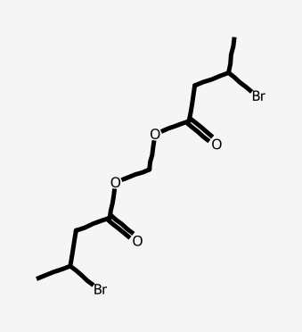 CC(Br)CC(=O)OCOC(=O)CC(C)Br